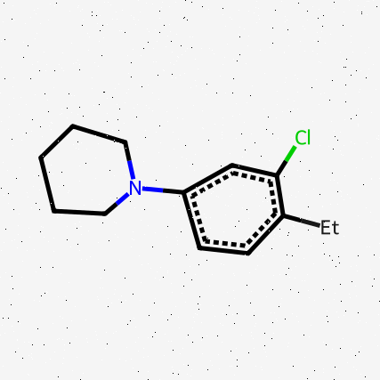 CCc1ccc(N2CCCCC2)cc1Cl